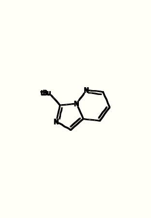 CC(C)(C)c1ncc2cccnn12